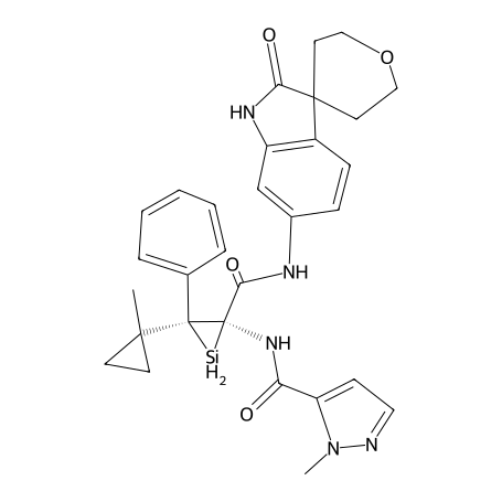 Cn1nccc1C(=O)N[C@]1(C(=O)Nc2ccc3c(c2)NC(=O)C32CCOCC2)[SiH2][C@]1(c1ccccc1)C1(C)CC1